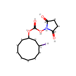 O=C(OC1CCCCCCCC(I)C1)ON1C(=O)CCC1=O